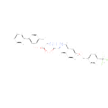 O=C(N[C@@H](Cc1ccc(-c2ccccc2)cc1)C(=O)O)c1cc2ccc(OCc3ccc(C(F)(F)F)cc3)cc2cn1